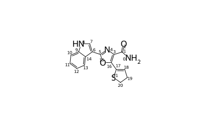 NC(=O)c1nc(-c2c[nH]c3ccccc23)oc1C1=CCCS1